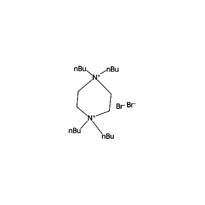 CCCC[N+]1(CCCC)CC[N+](CCCC)(CCCC)CC1.[Br-].[Br-]